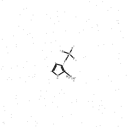 F[B-](F)(F)F.Nc1cccs1.[H+]